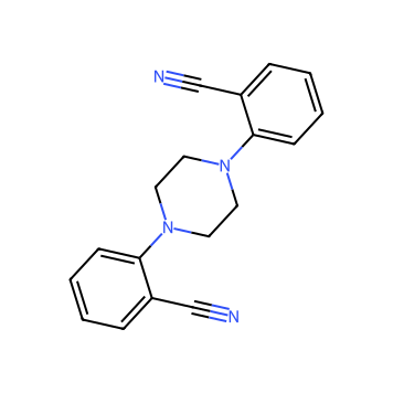 N#Cc1ccccc1N1CCN(c2ccccc2C#N)CC1